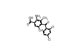 Cc1cc(C(=O)O)c(N)c(C)c1C(=O)c1ccc(Cl)cc1Cl